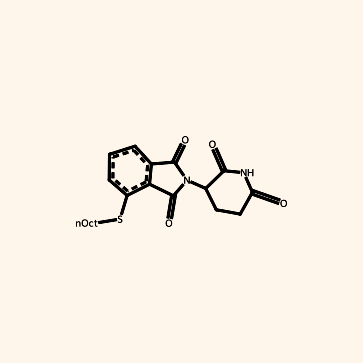 CCCCCCCCSc1cccc2c1C(=O)N(C1CCC(=O)NC1=O)C2=O